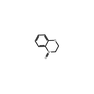 O=[N+]1CCOc2ccccc21